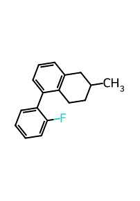 CC1CCc2c(cccc2-c2ccccc2F)C1